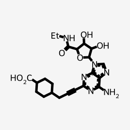 CCNC(=O)C1OC(n2cnc3c(N)nc(C#CCC4CCC(C(=O)O)CC4)nc32)C(O)C1O